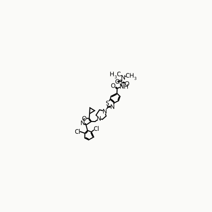 CN(C)S(=O)(=O)NC(=O)c1ccc2nc(N3CCN(Cc4c(-c5c(Cl)cccc5Cl)noc4C4CC4)CC3)sc2c1